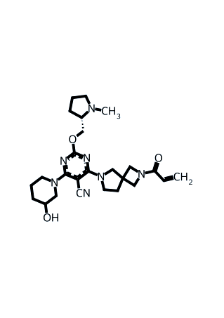 C=CC(=O)N1CC2(CCN(c3nc(OC[C@@H]4CCCN4C)nc(N4CCCC(O)C4)c3C#N)C2)C1